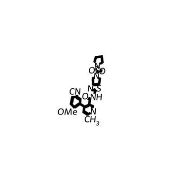 COc1ccc(C#N)cc1-c1cc(C)ncc1C(=O)Nc1nc2c(s1)CN(S(=O)(=O)N1CCCC1)C2